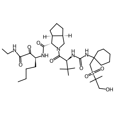 CCCC[C@H](NC(=O)[C@@H]1[C@H]2CCC[C@H]2CN1C(=O)[C@@H](NC(=O)NC1(CS(=O)(=O)C(C)(C)CO)CCCCC1)C(C)(C)C)C(=O)C(=O)NCC